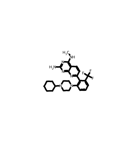 CNc1nc(N)nc2nc(-c3c(N4CCN(C5CCCCC5)CC4)cccc3C(F)(F)F)ccc12